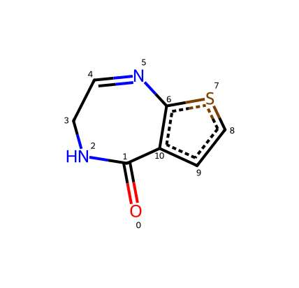 O=C1NCC=Nc2sccc21